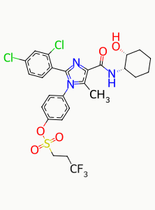 Cc1c(C(=O)N[C@H]2CCCC[C@H]2O)nc(-c2ccc(Cl)cc2Cl)n1-c1ccc(OS(=O)(=O)CCC(F)(F)F)cc1